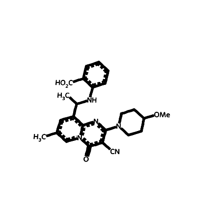 COC1CCN(c2nc3c(C(C)Nc4ccccc4C(=O)O)cc(C)cn3c(=O)c2C#N)CC1